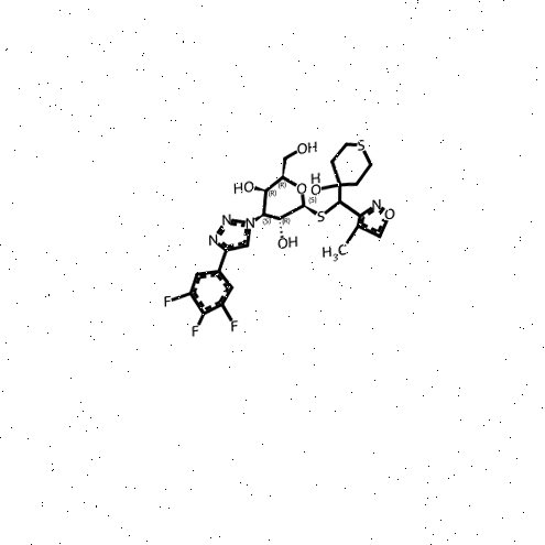 Cc1conc1C(S[C@@H]1O[C@H](CO)[C@H](O)[C@H](n2cc(-c3cc(F)c(F)c(F)c3)nn2)[C@H]1O)C1(O)CCSCC1